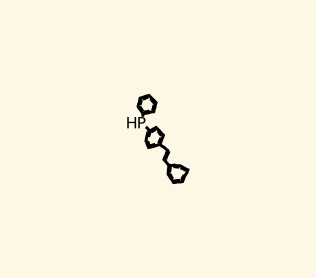 C(=Cc1ccc(Pc2ccccc2)cc1)c1ccccc1